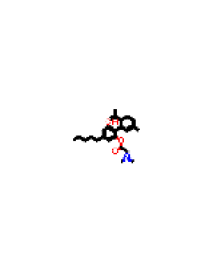 C=C(C)C1CCC(C)=CC1c1c(O)cc(CCCCC)cc1OC(=O)CN(C)C